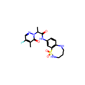 Cc1c(F)cnn(C(C)C(=O)Nc2ccc3c(c2)S(=O)(=O)NCCCN3)c1=O